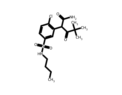 CCCCNS(=O)(=O)c1ccc(Cl)c(C(C(N)=O)C(=O)C(C)(C)C)c1